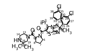 CC(C)C1=C(C(=O)N2CCC[C@H]2C(=O)N2CCNC(C)(C)C2)SC2=N[C@@](C)(c3ccc(Cl)cc3)[C@@H](c3ccc(Cl)cc3)N21